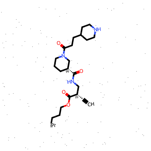 C#C[C@@H](CNC(=O)[C@@H]1CCCN(C(=O)CCC2CCNCC2)C1)C(=O)OCCCC(C)C